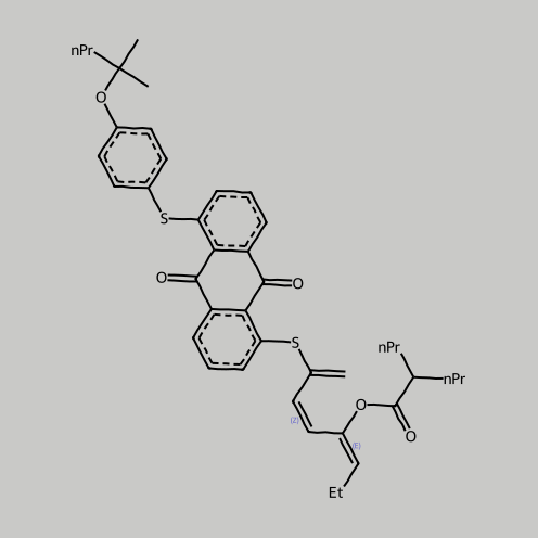 C=C(/C=C\C(=C/CC)OC(=O)C(CCC)CCC)Sc1cccc2c1C(=O)c1cccc(Sc3ccc(OC(C)(C)CCC)cc3)c1C2=O